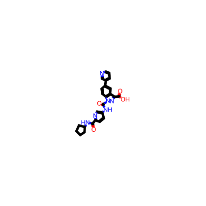 O=C(NC1CCCC1)c1ccc(NC(=O)n2nc(C(=O)O)c3cc(-c4cccnc4)ccc32)cn1